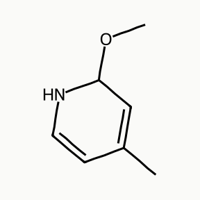 COC1C=C(C)C=CN1